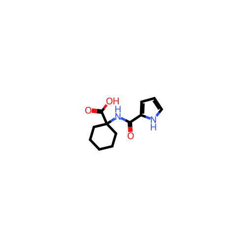 O=C(NC1(C(=O)O)CCCCC1)c1ccc[nH]1